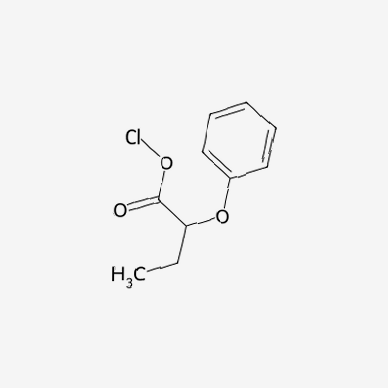 CCC(Oc1ccccc1)C(=O)OCl